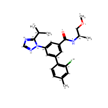 COC[C@@H](C)NC(=O)c1cc(-c2ccc(C)cc2F)cc(-n2ncnc2C(C)C)c1